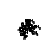 CCOc1cc([C@@H](CS(C)(=O)=O)N2C(=O)c3cccc(NC(=O)C4CC4)c3C2=O)ccc1OC